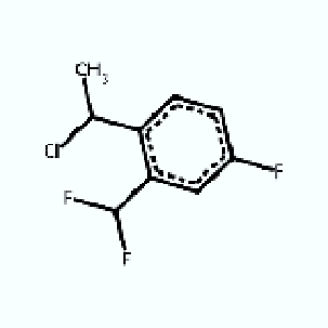 CC(Cl)c1ccc(F)cc1C(F)F